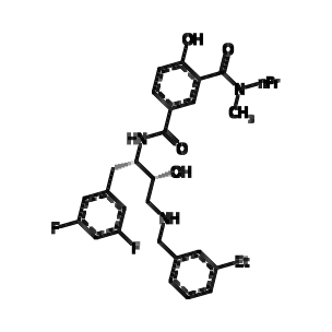 CCCN(C)C(=O)c1cc(C(=O)N[C@@H](Cc2cc(F)cc(F)c2)[C@H](O)CNCc2cccc(CC)c2)ccc1O